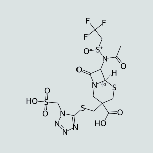 CC(=O)N(C1C(=O)N2CC(CSc3nnnn3CS(=O)(=O)O)(C(=O)O)CS[C@H]12)[S+]([O-])CC(F)(F)F